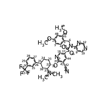 COc1ccc(CN(c2ccncn2)S(=O)(=O)c2cnc(O[C@H]3CC[C@H](c4cccc(C(F)(F)F)c4)C[C@@H]3N(C)C)c(C#N)c2)c(OC)c1